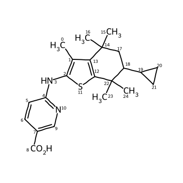 Cc1c(Nc2ccc(C(=O)O)cn2)sc2c1C(C)(C)CC(C1CC1)C2(C)C